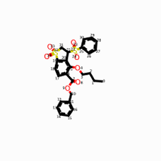 CCCCOc1c(C(=O)OCc2ccccc2)ccc2c1C(S(=O)(=O)c1ccccc1)CS2(=O)=O